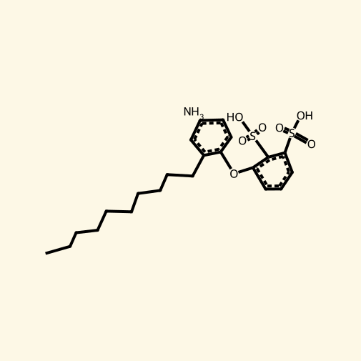 CCCCCCCCCCc1ccccc1Oc1cccc(S(=O)(=O)O)c1S(=O)(=O)O.N